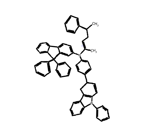 C/C(=C\CC(C)c1ccccc1)N(c1ccc(C2C=Cc3c(c4ccccc4n3-c3ccccc3)C2)cc1)c1ccc2c(c1)C(c1ccccc1)(c1ccccc1)c1ccccc1-2